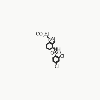 CCOC(=O)Cn1ncc2c1CCCC2NS(=O)(=O)c1ccc(Cl)cc1Cl